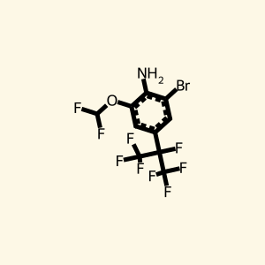 Nc1c(Br)cc(C(F)(C(F)(F)F)C(F)(F)F)cc1OC(F)F